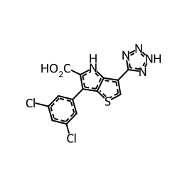 O=C(O)c1[nH]c2c(-c3nn[nH]n3)csc2c1-c1cc(Cl)cc(Cl)c1